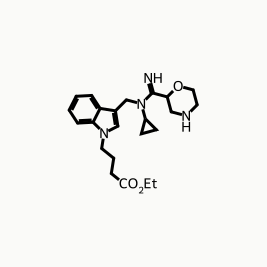 CCOC(=O)CCCn1cc(CN(C(=N)C2CNCCO2)C2CC2)c2ccccc21